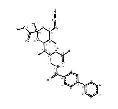 COC(=O)[C@]1(Cl)C[C@@H](N=[N+]=[N-])[C@@H](C)C([C@H](C)[C@@H](CNC(=O)c2ccc(-c3ccccc3)cc2)OC(C)=O)O1